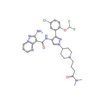 CN(C)C(=O)CCCN1CCC(n2cc(NC(=O)c3c(N)nn4cccnc34)c(-c3cc(Cl)ccc3OC(F)F)n2)CC1